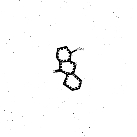 COc1cccc2c(=O)c3ccccc3sc12